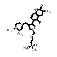 CC1Cc2c(ccc(-c3nn(COCC[Si](C)(C)C)cc3CN3CCN(C(=O)O)[C@H](C)C3)c2F)NC1=O